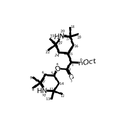 CCCCCCCCC(C(=O)OC1CC(C)(C)NC(C)(C)C1)C1CC(C)(C)NC(C)(C)C1